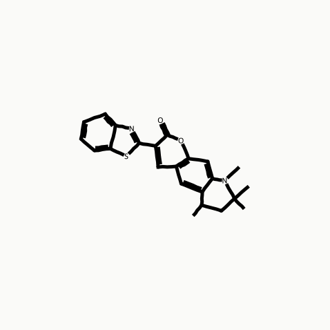 CC1CC(C)(C)N(C)c2cc3oc(=O)c(-c4nc5ccccc5s4)cc3cc21